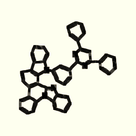 c1ccc(-c2cc(-c3ccccc3)nc(-c3cccc(-n4c5ccccc5c5ccc6c7ccccc7n7c8ccccc8nc7c6c54)c3)n2)cc1